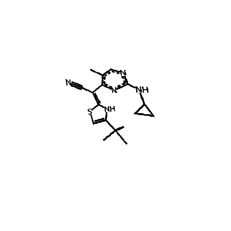 Cc1cnc(NC2CC2)nc1/C(C#N)=C1\NC(C(C)(C)C)=CS1